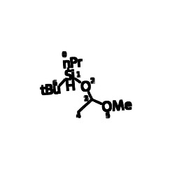 CCC[SiH](OC(C)OC)C(C)(C)C